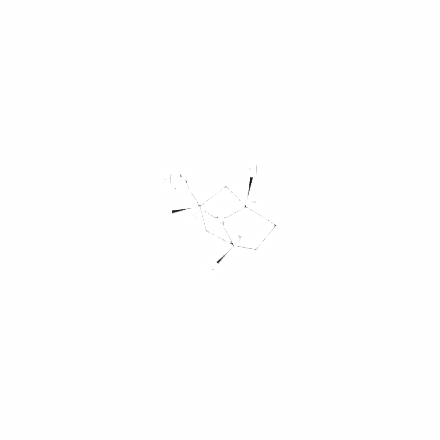 CN1[C@@H]2CC[C@H]1C[C@@](C)(N)C2